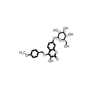 COc1ccc(COc2c(O)c(=O)oc3cc(O[C@@H]4O[C@H](CO)[C@@H](O)[C@H](O)[C@H]4O)ccc23)cc1